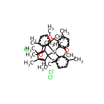 COc1c(C)ccc(C)c1[Si](c1c(C)ccc(C)c1OC)(c1c(C)ccc(C)c1OC)[C]1([Ti+3])C(C)=C(C)C(C)=C1C.[Cl-].[Cl-].[Cl-]